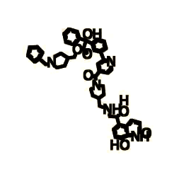 O=C(c1ccnc(-c2cccc(C(O)(C(=O)OCC3CCN(Cc4ccccc4)CC3)c3ccccc3)c2)c1)N1CCC(CNCC(O)c2ccc(O)c3[nH]c(=O)ccc23)CC1